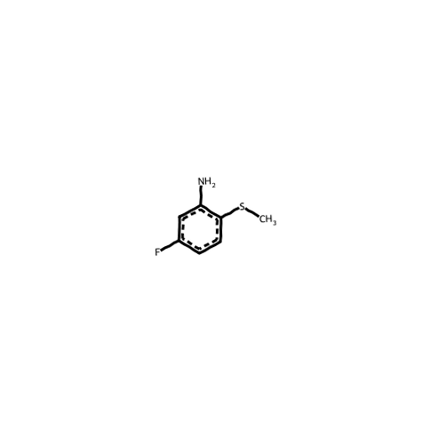 CSc1ccc(F)cc1N